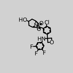 C[C@@H]1CC2CC(O)CC1N2S(=O)(=O)c1cc(C2(Nc3cc(F)c(F)c(F)c3)COC2)ccc1Cl